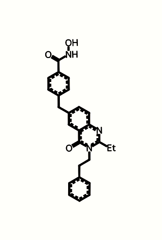 CCc1nc2ccc(Cc3ccc(C(=O)NO)cc3)cc2c(=O)n1CCc1ccccc1